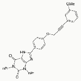 CCCn1c(=O)c2[nH]c(-c3ccc(OCC#Cc4cccc(OC)c4)cc3)nc2n(CCC)c1=O